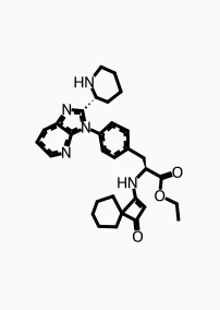 CCOC(=O)[C@H](Cc1ccc(-n2c([C@H]3CCCCN3)nc3cccnc32)cc1)NC1=CC(=O)C12CCCCC2